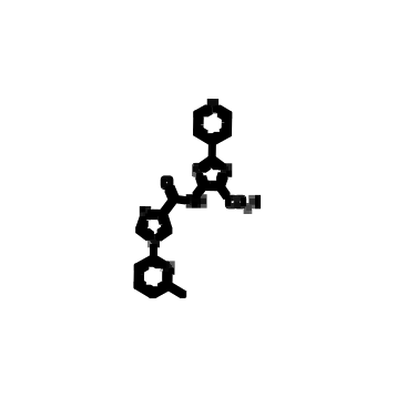 Cc1cccc(-n2cnc(C(=O)Nc3sc(-c4ccncc4)nc3C(=O)O)c2)n1